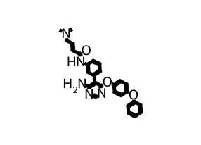 CN(C)CC=CC(=O)Nc1cccc(-c2c(N)ncnc2Oc2ccc(Oc3ccccc3)cc2)c1